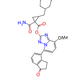 COc1ccc(-c2cccc3c2CCC3=O)n2nc(OC(=O)C3(C(N)=O)CC3CC3CCCCC3)nc12